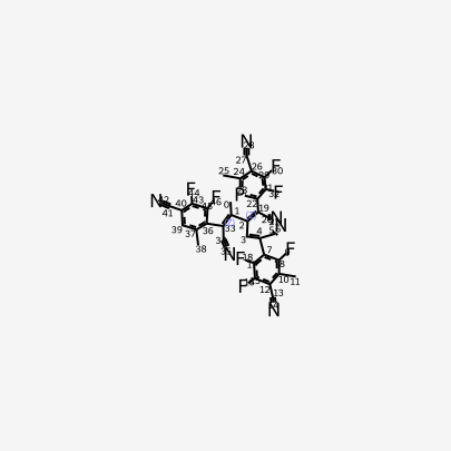 CC(/C(C=C(C#N)c1c(F)c(C)c(C#N)c(F)c1F)=C(/C#N)c1pc(C)c(C#N)c(F)c1F)=C(/C#N)c1c(C)cc(C#N)c(F)c1F